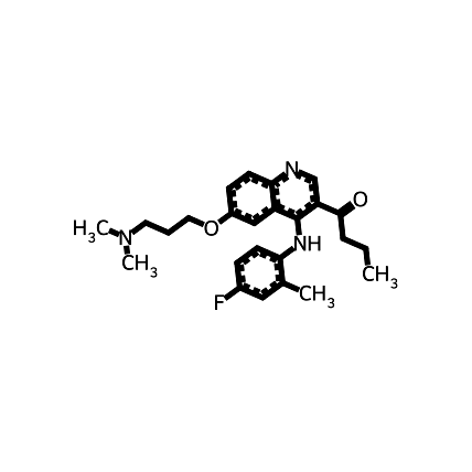 CCCC(=O)c1cnc2ccc(OCCCN(C)C)cc2c1Nc1ccc(F)cc1C